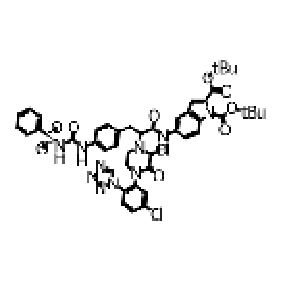 CC(C)(C)OC(=O)c1cc2cc(NC(=O)C(Cc3ccc(NC(=O)NS(=O)(=O)c4ccccc4)cc3)N3CCN(c4cc(Cl)ccc4-n4cnnn4)C(=O)C3=O)ccc2n1C(=O)OC(C)(C)C